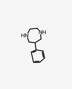 c1ccc(C2CNCCNC2)cc1